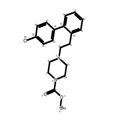 CC(C)(C)OC(=O)N1CCN(CCc2ccccc2-c2ccc(Cl)cc2)CC1